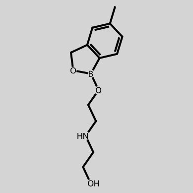 Cc1ccc2c(c1)COB2OCCNCCO